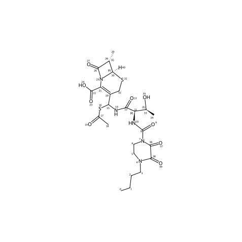 CCCCN1CCN(C(=O)N[C@@H](C(=O)NC(SC(C)=O)C2=C(C(=O)O)N3C(=O)[C@H](C)[C@H]3SC2)[C@H](C)O)C(=O)C1=O